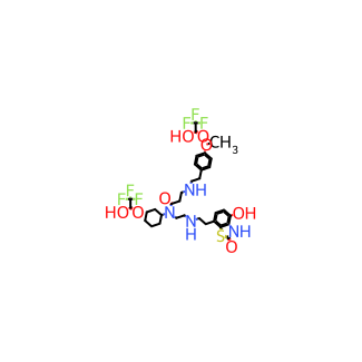 COc1ccc(CCNCCC(=O)N(CCNCCc2ccc(O)c3[nH]c(=O)sc23)C2CCCCC2)cc1.O=C(O)C(F)(F)F.O=C(O)C(F)(F)F